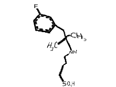 CC(C)(Cc1cccc(F)c1)NCCCS(=O)(=O)O